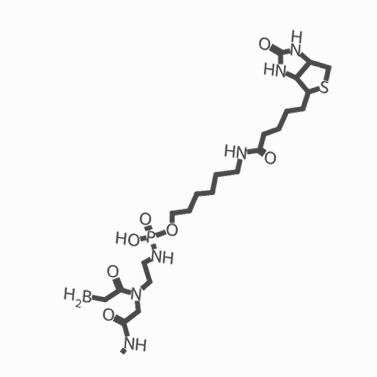 BCC(=O)N(CCNP(=O)(O)OCCCCCCNC(=O)CCCCC1SCC2NC(=O)NC21)CC(=O)NC